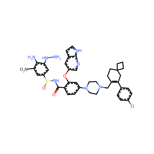 NNc1cc([S+]([O-])NC(=O)c2ccc(N3CCN(CC4=C(c5ccc(Cl)cc5)CC5(CCC5)CC4)CC3)cc2Oc2cnc3[nH]ccc3c2)cc([N+](=O)[O-])c1N